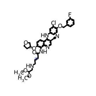 COC(CNC/C=C/C(=O)Nc1c(O[C@H]2CCOC2)ccc2c(Nc3ccc(OCc4cccc(F)c4)c(Cl)c3)c(C#N)cnc12)OC